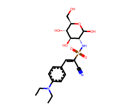 CCN(CC)c1ccc(/C=C(\C#N)S(=O)(=O)N[C@H]2C(O)O[C@H](CO)[C@@H](O)[C@@H]2O)cc1